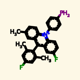 Cc1ccc2c(c1)c(-c1c(C)cc(F)cc1C)c1cc(F)ccc1[n+]2-c1ccc(P)cc1